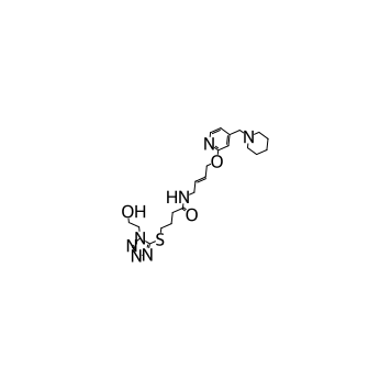 O=C(CCCSc1nnnn1CCO)NCC=CCOc1cc(CN2CCCCC2)ccn1